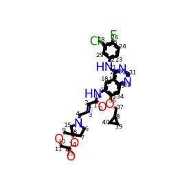 O=C(/C=C/CN1CCC2(COCC(=O)O2)C1)Nc1cc2c(Nc3ccc(F)c(Cl)c3)ncnc2cc1OCC1CC1